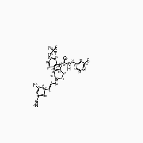 N#Cc1cc(F)cc(/C=C/CN2CCc3c(c4ccc(OC(F)(F)F)cc4n3C(=O)NCc3ccnc(F)c3)C2)c1